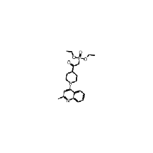 CCOP(=O)(CC(=O)C1CCN(c2cc(C)nc3ccccc23)CC1)OCC